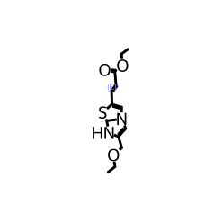 CCOCC1=CN2C=C(/C=C/C(=O)OCC)SC2N1